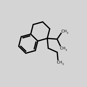 CCCC1(C(C)C)CCCc2ccccc21